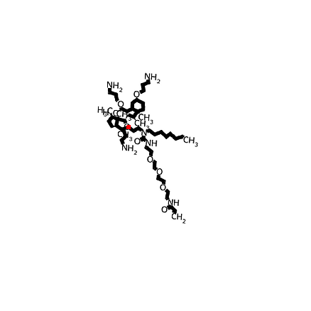 C=CC(=O)NCCOCCOCCOCCNC(=O)N(CCCCCCCC)CCC[C@@H](C)[C@H]1CC[C@@H](C)[C@]1(C)[C@H](C[C@@H](C)[C@@]1(C)CC[C@@H](OCCCN)CC1C[C@H](C)OCCCN)OCCCN